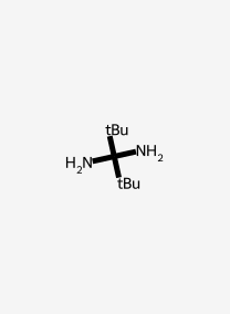 CC(C)(C)C(N)(N)C(C)(C)C